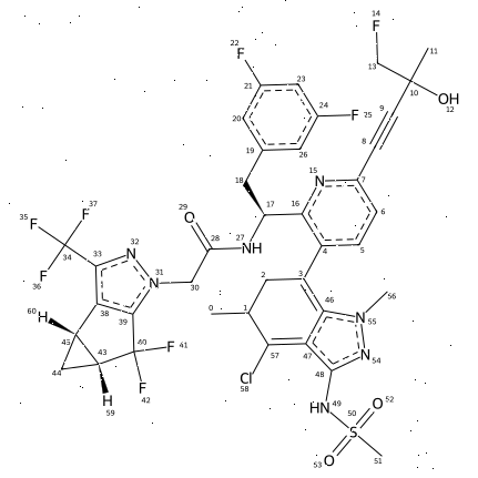 CC1CC(c2ccc(C#CC(C)(O)CF)nc2[C@H](Cc2cc(F)cc(F)c2)NC(=O)Cn2nc(C(F)(F)F)c3c2C(F)(F)[C@@H]2C[C@H]32)=c2c(c(NS(C)(=O)=O)nn2C)=C1Cl